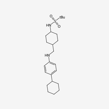 CC(C)(C)S(=O)(=O)NC1CCC(CNc2ccc(C3CCCCC3)cc2)CC1